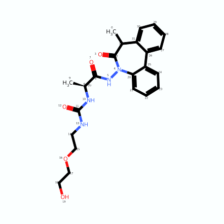 CC1C(=O)N(NC(=O)[C@H](C)NC(=O)NCCOCCO)c2ccccc2-c2ccccc21